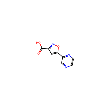 O=C(O)c1cc(-c2cnccn2)on1